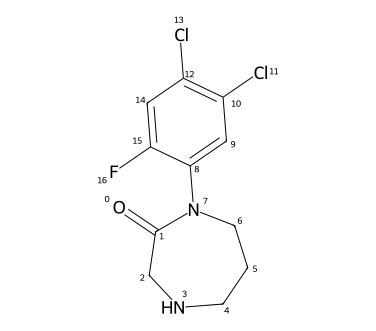 O=C1CNCCCN1c1cc(Cl)c(Cl)cc1F